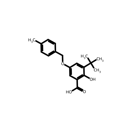 Cc1ccc(COc2cc(C(=O)O)c(O)c(C(C)(C)C)c2)cc1